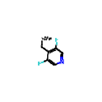 CSCc1c(F)cncc1F